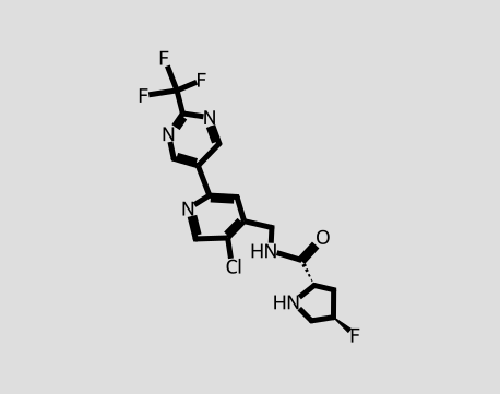 O=C(NCc1cc(-c2cnc(C(F)(F)F)nc2)ncc1Cl)[C@@H]1C[C@@H](F)CN1